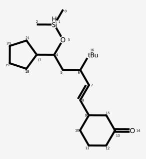 C[SiH](C)OC(CC(C=CC1CCCC(=O)C1)C(C)(C)C)C1CCCC1